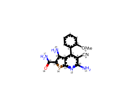 COc1ccccc1-c1c(C#N)c(N)nc2sc(C(N)=O)c(N)c12